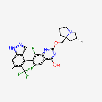 Cc1cc2[nH]ncc2c(-c2c(F)cc3c(O)nc(OC[C@@]45CCCN4C[C@H](C)C5)nc3c2F)c1C(F)(F)F